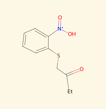 CCC(=O)CSc1ccccc1[N+](=O)O